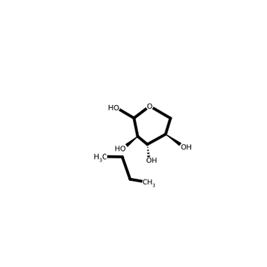 CCCC.OC1OC[C@@H](O)[C@H](O)[C@H]1O